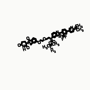 CN(C)c1ccc(-c2ccc(-c3nc4ccc(N(CCOCCOc5ccc6c(c5)CN(C5CCC(=O)NC5=O)C6=O)C(=O)OC(C)(C)C)cc4s3)c(C(F)(F)F)c2)cn1